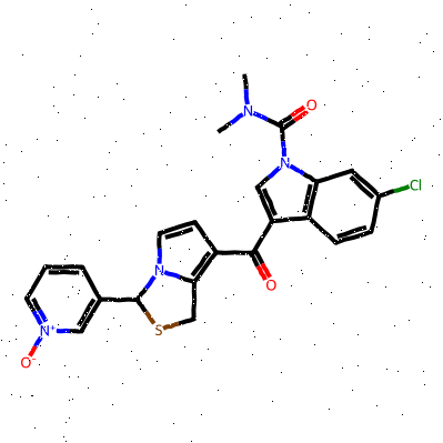 CN(C)C(=O)n1cc(C(=O)c2ccn3c2CSC3c2ccc[n+]([O-])c2)c2ccc(Cl)cc21